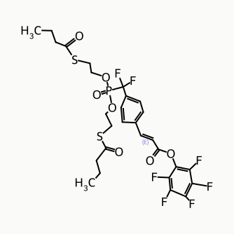 CCCC(=O)SCCOP(=O)(OCCSC(=O)CCC)C(F)(F)c1ccc(/C=C/C(=O)Oc2c(F)c(F)c(F)c(F)c2F)cc1